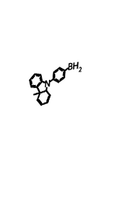 Bc1ccc(N2c3ccccc3C3(C)C=CC=CC23)cc1